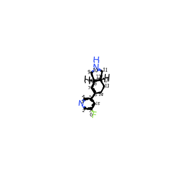 Fc1cncc(C2=C[C@@H]3CNC[C@@H]3CC2)c1